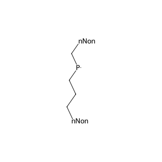 CCCCCCCCCCCC[P]CCCCCCCCCC